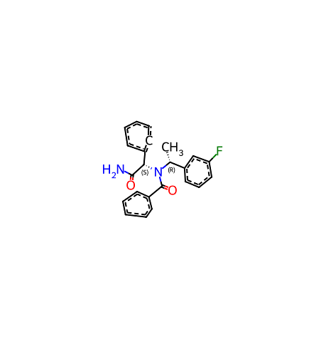 C[C@H](c1cccc(F)c1)N(C(=O)c1ccccc1)[C@H](C(N)=O)c1ccccc1